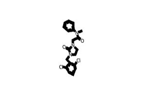 CN(C(=O)CN1CCN(Cc2c(Cl)cccc2Cl)C1=O)c1ccccc1